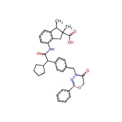 CC1c2cccc(NC(=O)C(c3ccc(CN4N=C(c5ccccc5)OCC4=O)cc3)C3CCCC3)c2CC1(C)C(=O)O